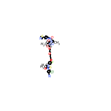 C[C@@H]1C[C@@H](C(=O)NCc2ccc(-c3cncs3)cc2)N(C(=O)[C@@H](NC(=O)COCCCOCCCCOc2ccc(N3C(=S)N(c4ccc(C#N)c(Cl)c4)C(=O)C3(C)C)cc2F)C(C)(C)C)C1